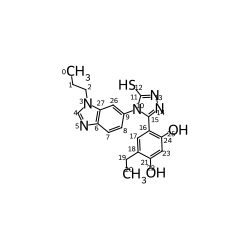 CCCn1cnc2ccc(-n3c(S)nnc3-c3cc(CC)c(O)cc3O)cc21